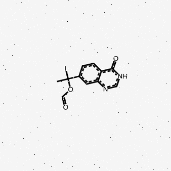 CC(I)(OC=O)c1ccc2c(=O)[nH]cnc2c1